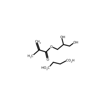 C=C(C)C(=O)OCC(O)CO.O=C(O)CCC(=O)O